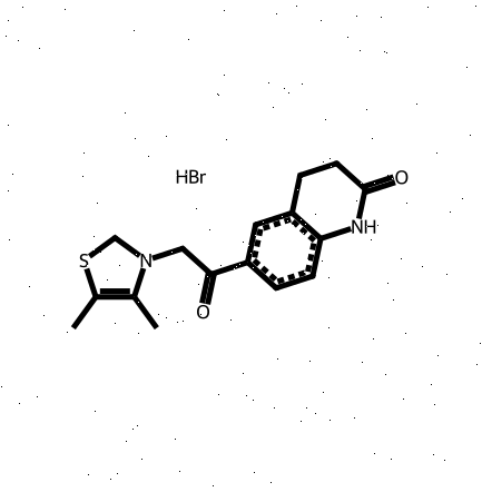 Br.CC1=C(C)N(CC(=O)c2ccc3c(c2)CCC(=O)N3)CS1